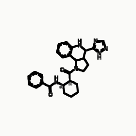 O=C(N[C@@H]1CCCC[C@@H]1C(=O)N1CCC2C(c3ncn[nH]3)Nc3ccccc3C21)c1ccccc1